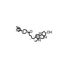 C[C@H](CCC(=O)N1CCN(c2cnn(C)c2)CC1)[C@H]1CC[C@H]2[C@@H]3CC[C@H]4C[C@@H](O)CC[C@]4(C)[C@H]3CC[C@]12C